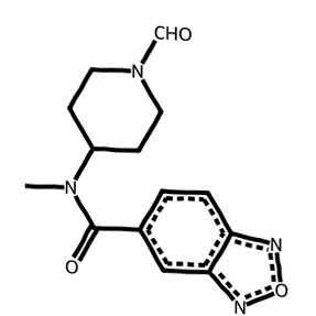 CN(C(=O)c1ccc2nonc2c1)C1CCN(C=O)CC1